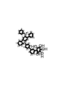 CN(c1ccccc1)c1cc2c3ccccc3n(-c3ccc(-c4cccc(-c5c(O)c(O)c(O)c(O)c5O)c4)cc3)c2cc1-c1ccccc1